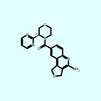 Nc1nc2ccc(C(=O)N3CCOC[C@@H]3c3ncccn3)cc2c2c1COC2